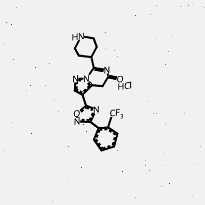 Cl.O=C1Cc2c(-c3nc(-c4ccccc4C(F)(F)F)no3)cnn2C(C2CCNCC2)=N1